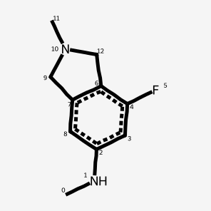 CNc1cc(F)c2c(c1)CN(C)C2